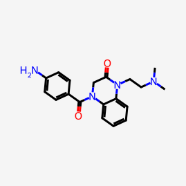 CN(C)CCN1C(=O)CN(C(=O)c2ccc(N)cc2)c2ccccc21